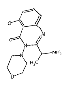 CC(N)c1nc2cccc(Cl)c2c(=O)n1N1CCOCC1